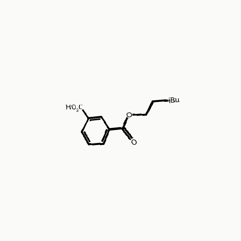 CCC(C)CCOC(=O)c1cccc(C(=O)O)c1